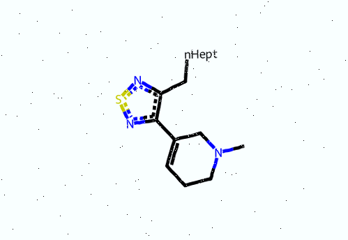 CCCCCCCCc1nsnc1C1=CCCN(C)C1